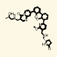 COc1nc(-c2cccc(-c3cccc(-c4ccn5c(=O)c(CNC[C@@H](C)O)cnc5c4)c3Cl)c2Cl)ccc1CNC[C@@H]1CCC(=O)N1